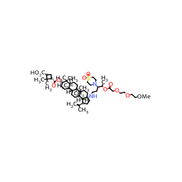 C=C(C)[C@@H]1CC[C@]2(NCCC(C(C)OC(=O)COCCOCCOC)N3CCS(=O)(=O)CC3)CC[C@]3(C)[C@H](CC[C@@H]4[C@@]5(C)CC[C@H](OC(=O)[C@H]6C[C@@H](C(=O)O)C6(C)C)C(C)(C)[C@@H]5CC[C@]43C)[C@@H]12